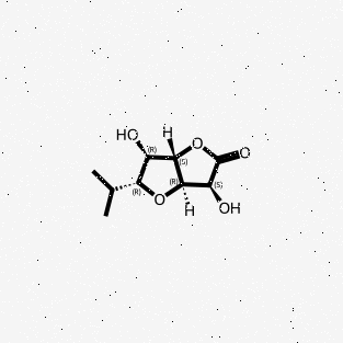 CC(C)[C@H]1O[C@H]2[C@@H](OC(=O)[C@H]2O)[C@@H]1O